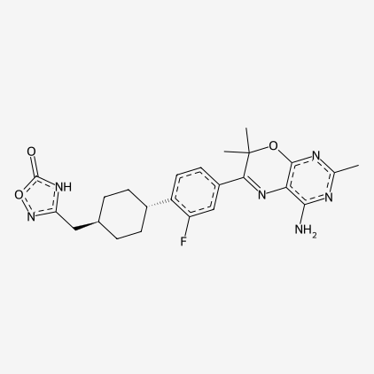 Cc1nc(N)c2c(n1)OC(C)(C)C(c1ccc([C@H]3CC[C@H](Cc4noc(=O)[nH]4)CC3)c(F)c1)=N2